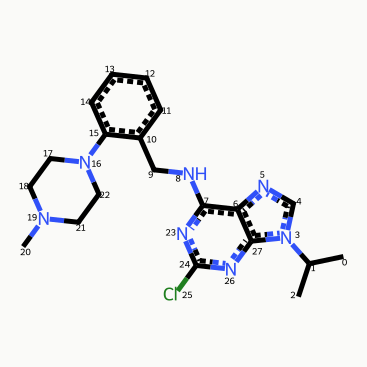 CC(C)n1cnc2c(NCc3ccccc3N3CCN(C)CC3)nc(Cl)nc21